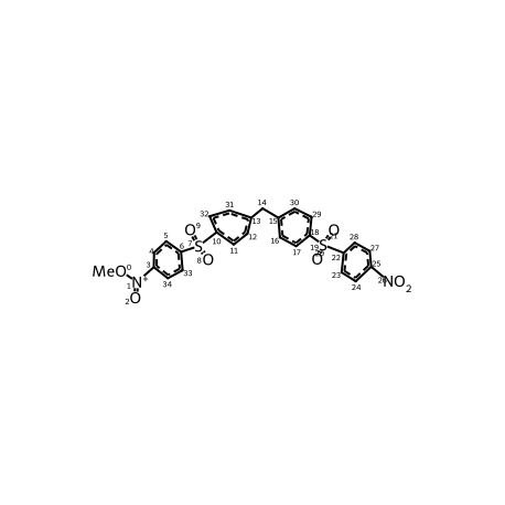 CO[N+](=O)c1ccc(S(=O)(=O)c2ccc(Cc3ccc(S(=O)(=O)c4ccc([N+](=O)[O-])cc4)cc3)cc2)cc1